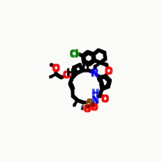 CO[C@H](C)CO[C@H]1/C=C/C[C@H](C)[C@@H](C)S(=O)(=O)NC(=O)c2ccc3c(c2)N(C[C@@H]2CC[C@H]21)C[C@@]1(CCCc2cc(Cl)ccc21)CO3